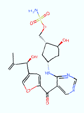 C=C(C)[C@@H](O)c1coc(C(=O)c2cncnc2N[C@@H]2C[C@H](COS(N)(=O)=O)[C@@H](O)C2)c1